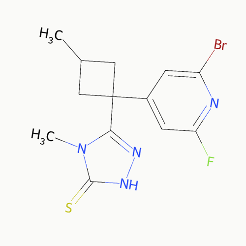 CC1CC(c2cc(F)nc(Br)c2)(c2n[nH]c(=S)n2C)C1